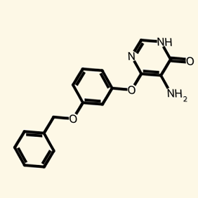 Nc1c(Oc2cccc(OCc3ccccc3)c2)nc[nH]c1=O